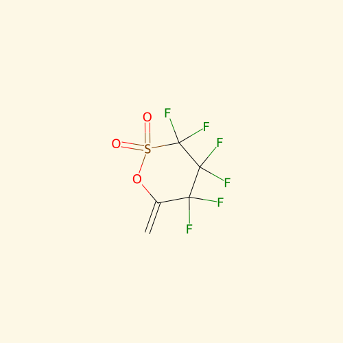 C=C1OS(=O)(=O)C(F)(F)C(F)(F)C1(F)F